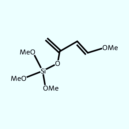 C=C(C=COC)O[Si](OC)(OC)OC